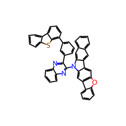 c1cc(-c2nc3ccccc3nc2-n2c3cc4ccccc4cc3c3cc4oc5ccccc5c4cc32)cc(-c2cccc3c2sc2ccccc23)c1